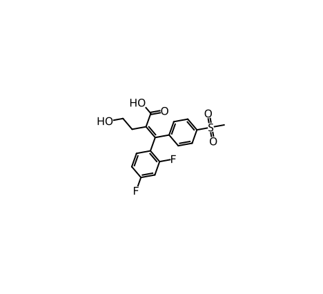 CS(=O)(=O)c1ccc(C(=C(CCO)C(=O)O)c2ccc(F)cc2F)cc1